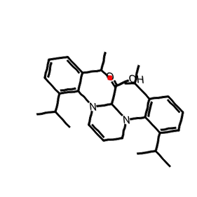 CC(C)c1cccc(C(C)C)c1N1C=CCN(c2c(C(C)C)cccc2C(C)C)C1C(=O)O